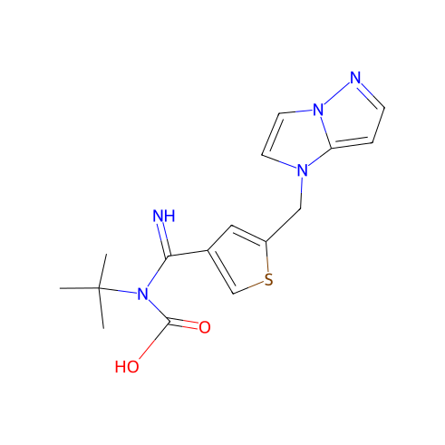 CC(C)(C)N(C(=N)c1csc(Cn2ccn3nccc23)c1)C(=O)O